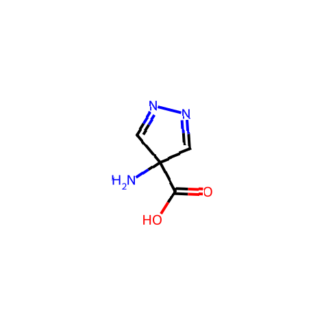 NC1(C(=O)O)C=NN=C1